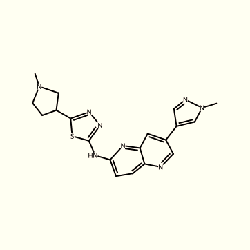 CN1CCC(c2nnc(Nc3ccc4ncc(-c5cnn(C)c5)cc4n3)s2)C1